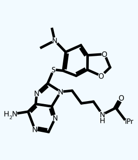 CC(C)C(=O)NCCCn1c(Sc2cc3c(cc2N(C)C)OCO3)nc2c(N)ncnc21